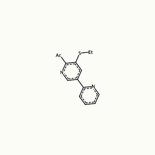 CCSc1cc(-c2ccccn2)cnc1C(C)=O